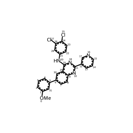 COc1cccc(-c2ccc3nc(-c4cccnc4)nc(Nc4ccc(Cl)c(Cl)c4)c3c2)c1